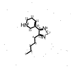 CCCCCc1nsnc1C1=CCCNC1